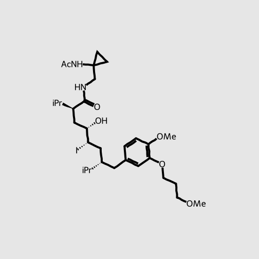 COCCCOc1cc(C[C@@H](C[C@H](I)[C@@H](O)C[C@H](C(=O)NCC2(NC(C)=O)CC2)C(C)C)C(C)C)ccc1OC